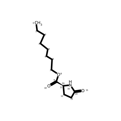 CCCCCCCCOC(=O)[C@@H]1CCC(=O)N1